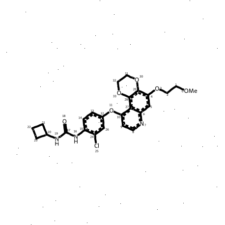 COCCOc1cc2nccc(Oc3ccc(NC(=O)NC4CCC4)c(Cl)c3)c2c2c1OCCO2